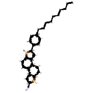 CCCCCCCCCCc1ccc(-c2cc3c(ccc4c5cc(I)sc5ccc34)s2)cc1